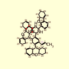 C/C=C/C1=C(N2C3C=CC=CC3OC3CCCCC32)CC(N2C3=C(C=CCC3)OC3CCC=CC32)C(C2NC(c3cccc4c3OC3CCCC=C43)NC(C3C=CCCC3)N2)=C1